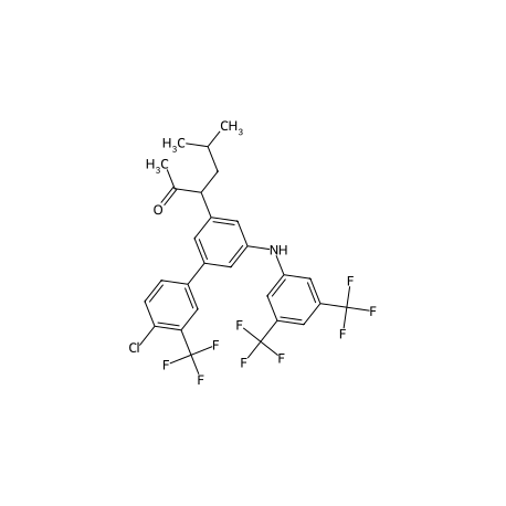 CC(=O)C(CC(C)C)c1cc(Nc2cc(C(F)(F)F)cc(C(F)(F)F)c2)cc(-c2ccc(Cl)c(C(F)(F)F)c2)c1